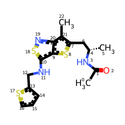 CC(=O)N[C@@H](C)Cc1sc2c(NCc3cccs3)snc2c1C